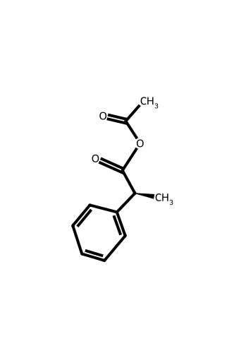 CC(=O)OC(=O)[C@@H](C)c1ccccc1